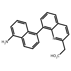 Nc1cccc2c(-c3cccc4ccc(CC(=O)O)nc34)cccc12